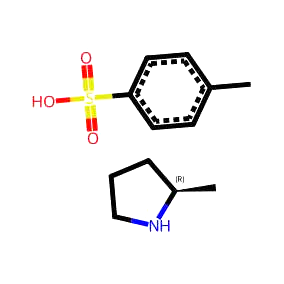 C[C@@H]1CCCN1.Cc1ccc(S(=O)(=O)O)cc1